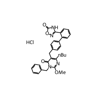 CCCCc1nc(OC)n(Cc2ccccc2)c(=O)c1Cc1ccc(-c2ccccc2-c2noc(=O)[nH]2)cc1.Cl